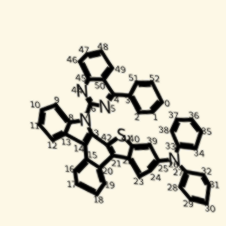 c1ccc(-c2nc(-n3c4ccccc4c4c5ccccc5c5c6ccc(N(c7ccccc7)c7ccccc7)cc6sc5c43)nc3ccccc23)cc1